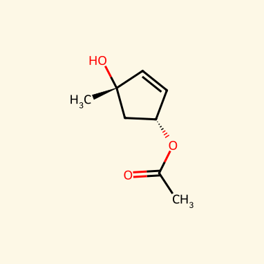 CC(=O)O[C@H]1C=C[C@@](C)(O)C1